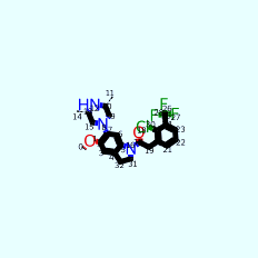 COc1cc2c(cc1N1C[C@@H](C)N[C@@H](C)C1)N(C(=O)Cc1cccc(C(F)(F)F)c1Cl)CC2